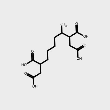 CC(CCCCC(CC(=O)O)C(=O)O)C(CC(=O)O)C(=O)O